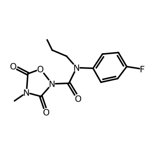 CCCN(C(=O)n1oc(=O)n(C)c1=O)c1ccc(F)cc1